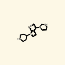 C1=CN(c2ccnc3c2ccn3C2CCNCC2)CNC1